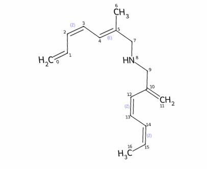 C=C/C=C\C=C(/C)CNCC(=C)/C=C\C=C/C